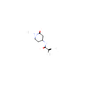 C=C(C)C(=O)NC1CCN(C)C(=O)C1